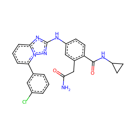 NC(=O)Cc1cc(Nc2nc3cccc(-c4cccc(Cl)c4)n3n2)ccc1C(=O)NC1CC1